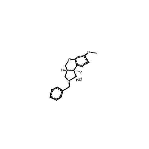 COc1ccc2c(c1)OC[C@H]1CN(Cc3ccccc3)C[C@H]21.Cl